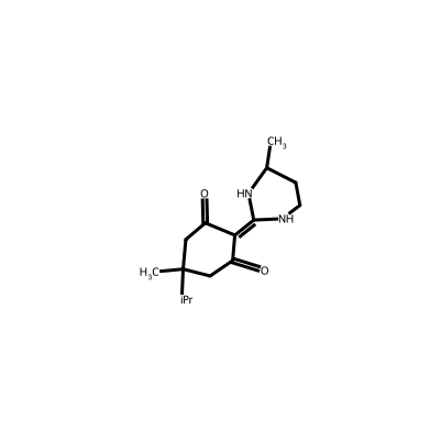 CC1CCNC(=C2C(=O)CC(C)(C(C)C)CC2=O)N1